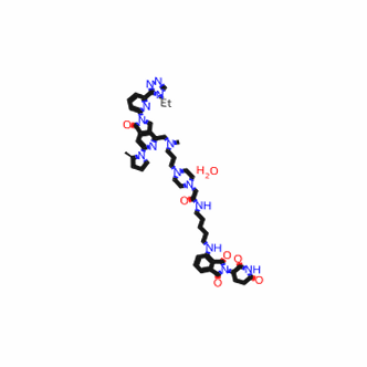 CCn1cnnc1-c1cccc(N2Cc3c(cc(N4CCC[C@H]4C)nc3CN(C)CCCN3CCN(CC(=O)NCCCCCNc4cccc5c4C(=O)N(C4CCC(=O)NC4=O)C5=O)CC3)C2=O)n1.O